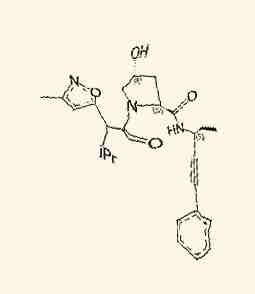 Cc1cc(C(C(=O)N2C[C@H](O)C[C@H]2C(=O)N[C@@H](C)C#Cc2ccccc2)C(C)C)on1